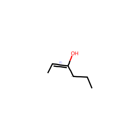 C/C=C(/O)[CH]CC